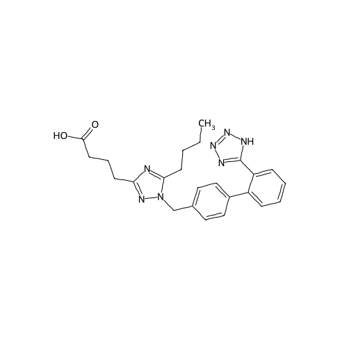 CCCCc1nc(CCCC(=O)O)nn1Cc1ccc(-c2ccccc2-c2nnn[nH]2)cc1